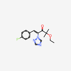 CCOC(C)(C)C(=O)C(=Cc1ccc(F)cc1)n1cncn1